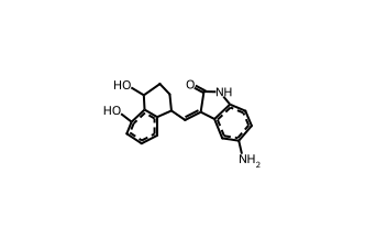 Nc1ccc2c(c1)C(=CC1CCC(O)c3c(O)cccc31)C(=O)N2